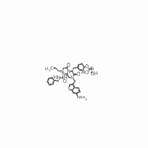 C=CCN1CC(=O)N2[C@@H](Cc3ccc(OP(=O)(O)O)cc3)C(=O)N(Cc3csc4cc(N)ccc34)C[C@@H]2N1C(=O)NCc1ccccc1